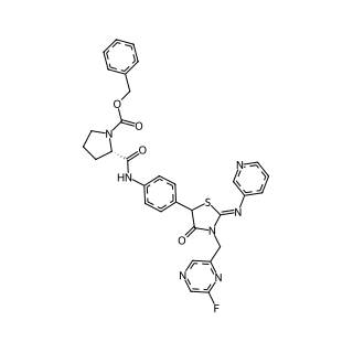 O=C(Nc1ccc(C2S/C(=N\c3cccnc3)N(Cc3cncc(F)n3)C2=O)cc1)[C@@H]1CCCN1C(=O)OCc1ccccc1